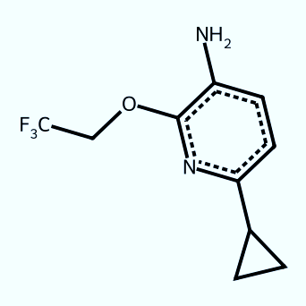 Nc1ccc(C2CC2)nc1OCC(F)(F)F